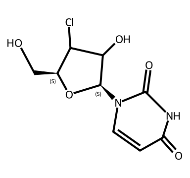 O=c1ccn([C@H]2O[C@@H](CO)C(Cl)C2O)c(=O)[nH]1